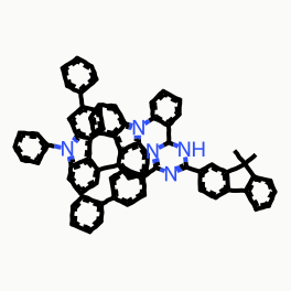 CC1(C)c2ccccc2-c2ccc(C3=NC(c4ccc(-c5ccccc5)cc4)=NC(c4ccccc4-n4c5ccccc5c5c(-c6cccc7c6c6ccc(-c8ccccc8)cc6n7-c6ccccc6)cccc54)N3)cc21